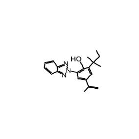 C=C(C)c1cc(-n2nc3ccccc3n2)c(O)c(C(C)(C)CC)c1